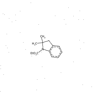 CCOC(=O)N1c2ccccc2CC1(C)C